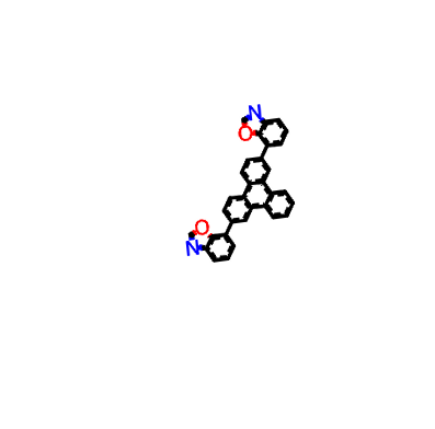 c1cc(-c2ccc3c4ccc(-c5cccc6ncoc56)cc4c4ccccc4c3c2)c2ocnc2c1